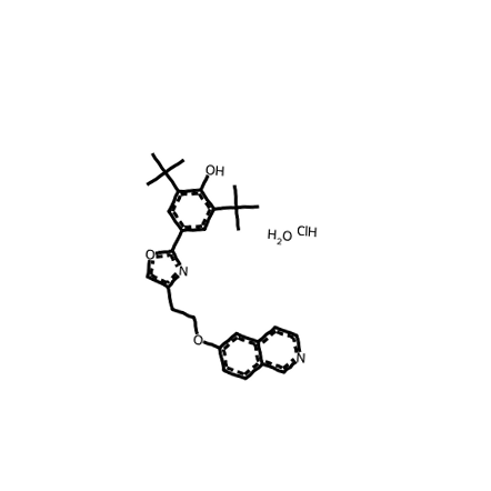 CC(C)(C)c1cc(-c2nc(CCOc3ccc4cnccc4c3)co2)cc(C(C)(C)C)c1O.Cl.O